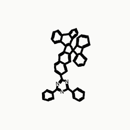 c1ccc(-c2nc(-c3ccccc3)nc(-c3ccc4cc5c(cc4c3)C3(c4ccccc4-c4ccccc43)c3c-5c4ccccc4c4ccccc34)n2)cc1